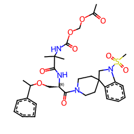 CC(=O)OCOC(=O)NC(C)(C)C(=O)N[C@H](COC(C)c1ccccc1)C(=O)N1CCC2(CC1)CN(S(C)(=O)=O)c1ccccc12